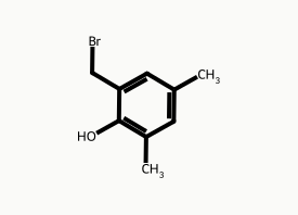 Cc1cc(C)c(O)c(CBr)c1